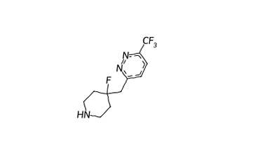 FC1(Cc2ccc(C(F)(F)F)nn2)CCNCC1